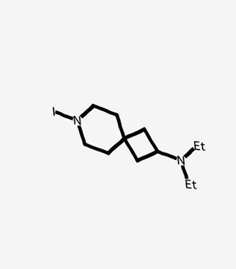 CCN(CC)C1CC2(CCN(I)CC2)C1